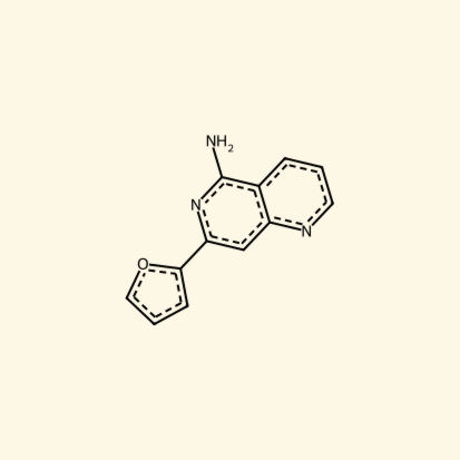 Nc1nc(-c2ccco2)cc2ncccc12